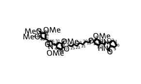 COc1cc(C2NC(=O)c3ccccc3N2)ccc1OCCCCCCCCOc1c(OC)cc(C2=NOC(c3cc(OC)c(OC)c(OC)c3)C2)cc1OC